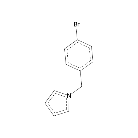 Brc1ccc(Cn2cccc2)cc1